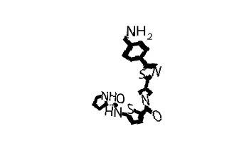 NCc1ccc(-c2cnc(C3CN(C(=O)c4ccc(NC(=O)[C@@H]5CCCN5)s4)C3)s2)cc1